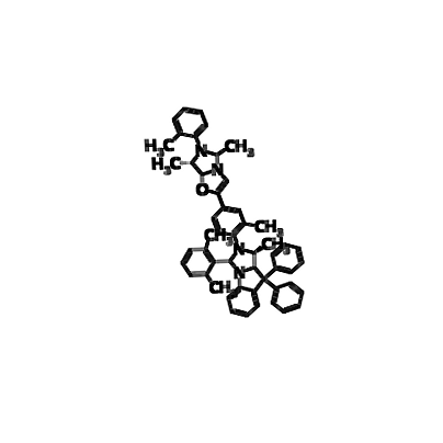 Cc1ccccc1N1C(C)N2C=C(c3ccc(N4C(c5c(C)cccc5C)N5c6ccccc6C(c6ccccc6)(c6ccccc6)C5[C@@H]4C)c(C)c3)OC2[C@@H]1C